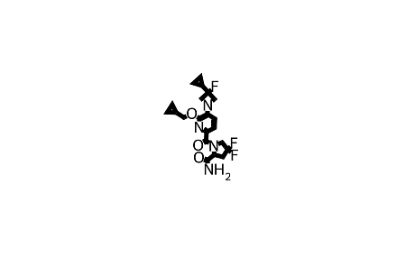 NC(=O)C1CC(F)(F)CN1C(=O)c1ccc(N2CC(F)(C3CC3)C2)c(OCC2CC2)n1